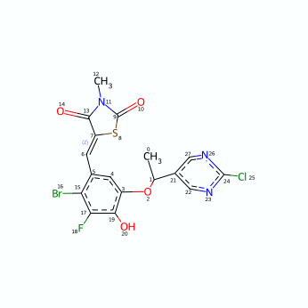 CC(Oc1cc(/C=C2\SC(=O)N(C)C2=O)c(Br)c(F)c1O)c1cnc(Cl)nc1